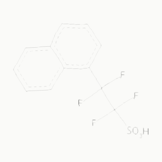 O=S(=O)(O)C(F)(F)C(F)(F)c1cccc2ccccc12